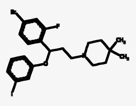 CC1(C)CCN(CCC(Oc2cccc(I)c2)c2ccc(Br)cc2F)CC1